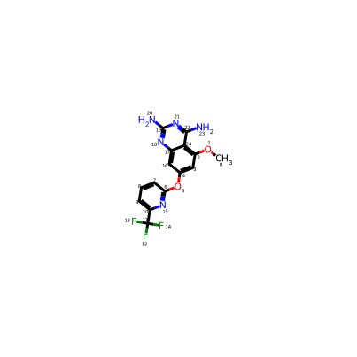 COc1cc(Oc2cccc(C(F)(F)F)n2)cc2nc(N)nc(N)c12